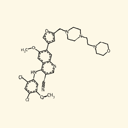 COc1cc(Nc2c(C#N)cnc3cc(-c4coc(CN5CCN(CCN6CCOCC6)CC5)c4)c(OC)cc23)c(Cl)cc1Cl